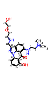 CN(C)CCNc1ccc2c(CNCCOCCO)nn3c4cccc(O)c4c(=O)c1c23